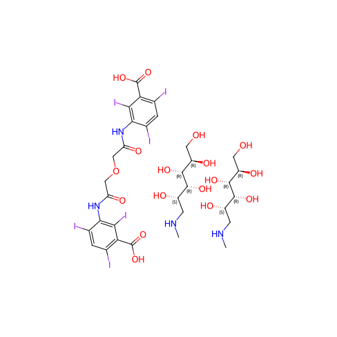 CNC[C@H](O)[C@@H](O)[C@H](O)[C@H](O)CO.CNC[C@H](O)[C@@H](O)[C@H](O)[C@H](O)CO.O=C(COCC(=O)Nc1c(I)cc(I)c(C(=O)O)c1I)Nc1c(I)cc(I)c(C(=O)O)c1I